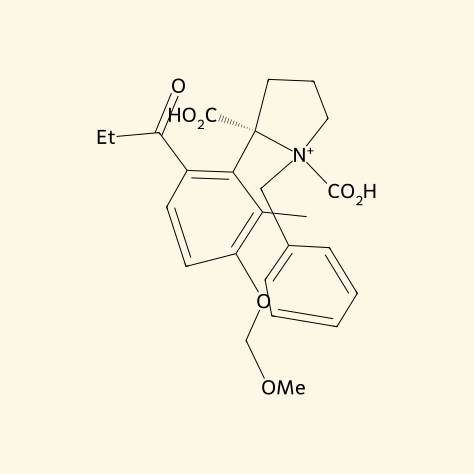 CCC(=O)c1ccc(OCOC)c(C)c1[C@@]1(C(=O)O)CCC[N+]1(Cc1ccccc1)C(=O)O